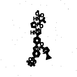 COC(=O)N[C@H](C(=O)N1CCC[C@H]1c1ncc(-c2ccc3c(c2)OC(c2ccc(C4CC4)s2)n2c-3cc3cc(B4OC(C)(C)C(C)(C)O4)ccc32)[nH]1)C(C)C